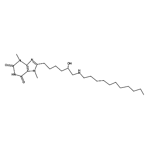 CCCCCCCCCCCNCC(O)CCCCc1nc2c(c(=O)[nH]c(=O)n2C)n1C